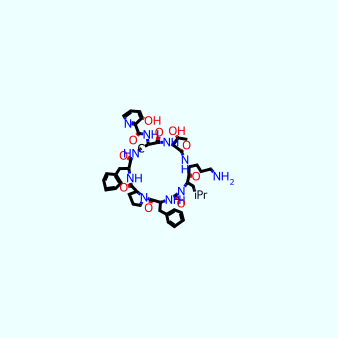 CC(C)CC1NC(=O)NC(Cc2ccccc2)C(=O)N2CCCC2C(=O)NC(Cc2ccccc2)C(=O)NCC(NC(=O)c2ncccc2O)C(=O)NC(C(C)O)C(=O)NC(CCCN)C1=O